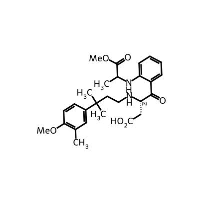 COC(=O)C(C)Nc1ccccc1C(=O)[C@H](CC(=O)O)NCCC(C)(C)c1ccc(OC)c(C)c1